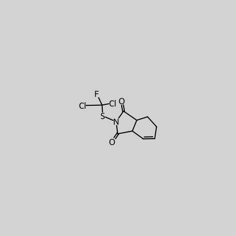 O=C1C2C=CCCC2C(=O)N1SC(F)(Cl)Cl